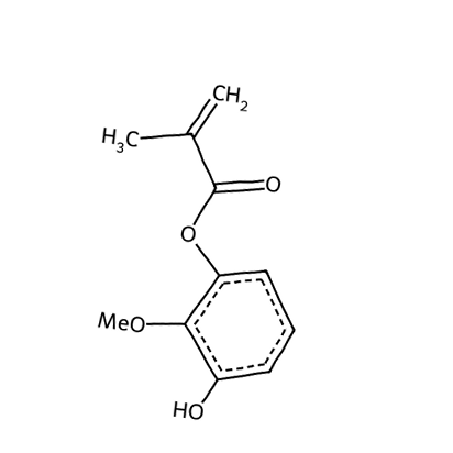 C=C(C)C(=O)Oc1cccc(O)c1OC